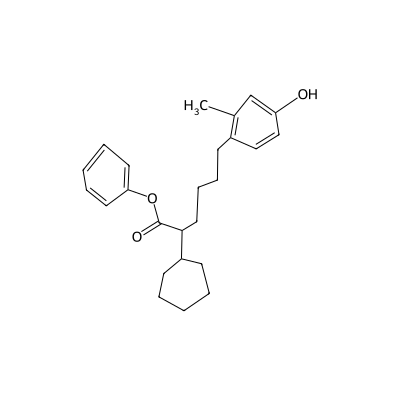 Cc1cc(O)ccc1CCCCC(C(=O)Oc1ccccc1)C1CCCCC1